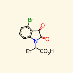 CCC(C(=O)O)N1C(=O)C(=O)c2c(Br)cccc21